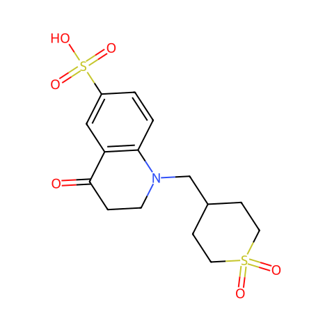 O=C1CCN(CC2CCS(=O)(=O)CC2)c2ccc(S(=O)(=O)O)cc21